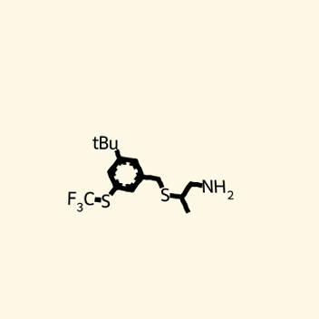 CC(CN)SCc1cc(SC(F)(F)F)cc(C(C)(C)C)c1